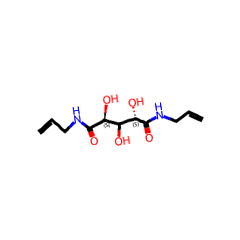 C=CCNC(=O)[C@@H](O)C(O)[C@H](O)C(=O)NCC=C